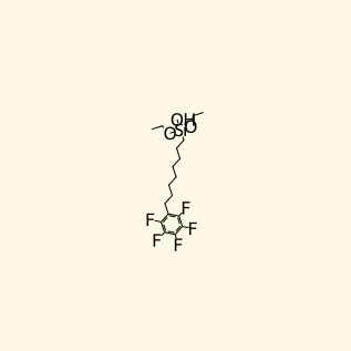 CCO[Si](O)(CCCCCCCCc1c(F)c(F)c(F)c(F)c1F)OCC